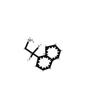 NCC(F)(F)c1cccc2ccccc12